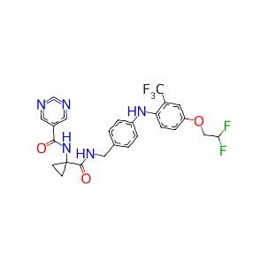 O=C(NC1(C(=O)NCc2ccc(Nc3ccc(OCC(F)F)cc3C(F)(F)F)cc2)CC1)c1cncnc1